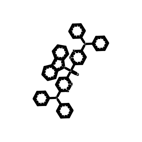 O=P(c1ccc(N(c2ccccc2)c2ccccc2)nn1)(c1ccc(N(c2ccccc2)c2ccccc2)nn1)n1c2ccccc2c2ccccc21